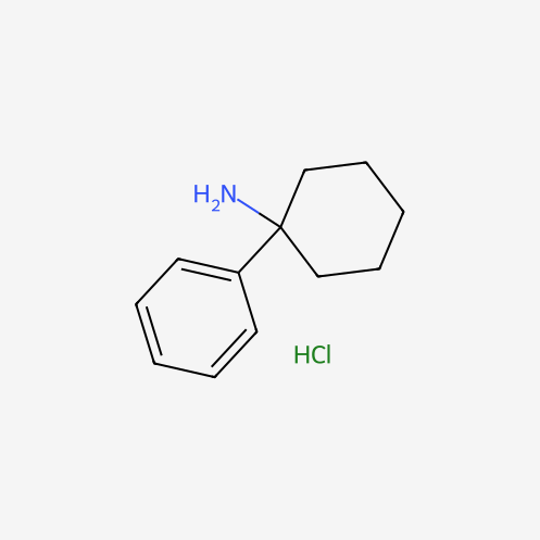 Cl.NC1(c2ccccc2)CCCCC1